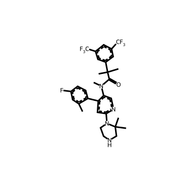 Cc1cc(F)ccc1-c1cc(N2CCNCC2(C)C)ncc1N(C)C(=O)C(C)(C)c1cc(C(F)(F)F)cc(C(F)(F)F)c1